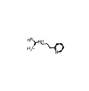 C=C(CCC)NCCCc1ccccn1